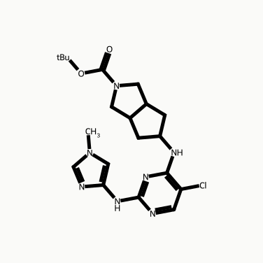 Cn1cnc(Nc2ncc(Cl)c(NC3CC4CN(C(=O)OC(C)(C)C)CC4C3)n2)c1